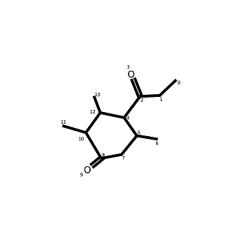 CCC(=O)C1C(C)CC(=O)C(C)C1C